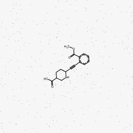 COC(=O)c1ccccc1C#CC1CCC(C(=O)O)CN1